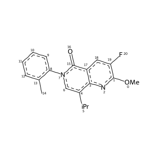 COc1nc2c(C(C)C)cn(-c3ccccc3C)c(=O)c2cc1F